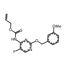 C=CCOC(=S)Nc1nc(OCc2cccc(OC)c2)ncc1F